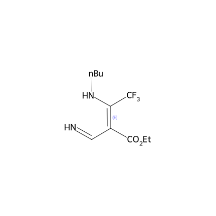 CCCCN/C(=C(\C=N)C(=O)OCC)C(F)(F)F